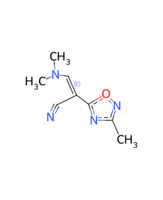 Cc1noc(/C(C#N)=C/N(C)C)n1